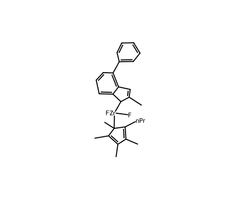 CCCC1=C(C)C(C)=C(C)[C]1(C)[Zr]([F])([F])[CH]1C(C)=Cc2c(-c3ccccc3)cccc21